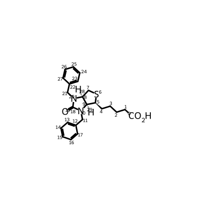 O=C(O)CCCC[C@@H]1SC[C@H]2[C@@H]1N(Cc1ccccc1)C(=O)N2Cc1ccccc1